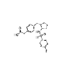 O=C(O)Cc1ccc(CC2CCCC2NS(=O)(=O)c2ccc(F)cc2)cc1